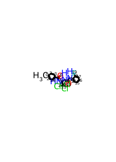 Cc1ccc(C(=O)NC(NC(=O)Nc2ccccc2F)C(Cl)(Cl)Cl)cc1